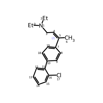 CCN(CC)C/C=C(/C)c1ccc(-c2ccccc2Cl)cc1